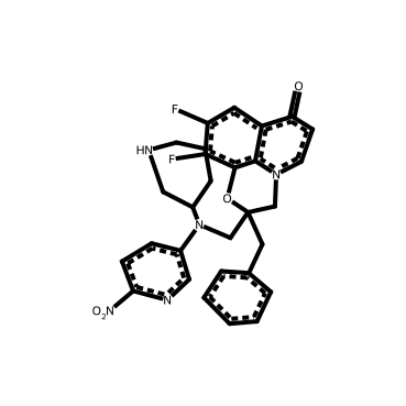 O=c1ccn2c3c(c(F)c(F)cc13)OC(Cc1ccccc1)(CN(c1ccc([N+](=O)[O-])nc1)C1CCCNC1)C2